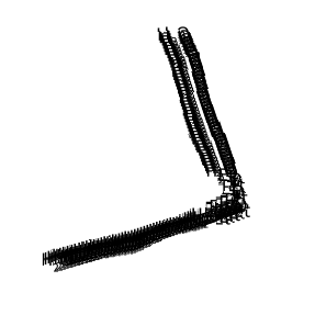 CCOCC.CCOCC.CCOCC.CCOCC.CCOCC.CCOCC.CCOCC.O.O.O.O.O.O.O.O.O.O.O.O.O.O.O.O.O.O.O.O.O.O.O.O.O.O.O.O.O.O.O.O.O.O.O.O.O.O.O.O.O.O.O.O.O.O.O.O.O.O.O.O.O.O.O.O.O.O.O.O.O.O.O.O.O.O.O.O.O.O.O.O.O.O.O.O.O.O.O.O.O.O.O.O.O.O.O.O.O.O.O.O.O